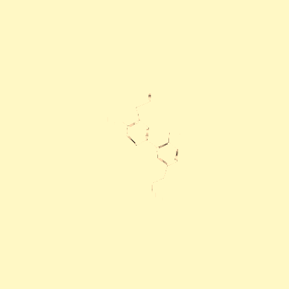 C=CCc1cc(-c2cc(CCC)ccc2P)ccc1C